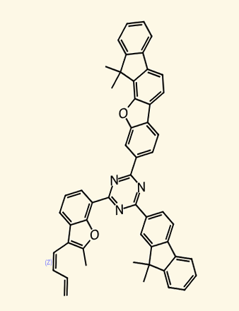 C=C/C=C\c1c(C)oc2c(-c3nc(-c4ccc5c(c4)C(C)(C)c4ccccc4-5)nc(-c4ccc5c(c4)oc4c6c(ccc45)-c4ccccc4C6(C)C)n3)cccc12